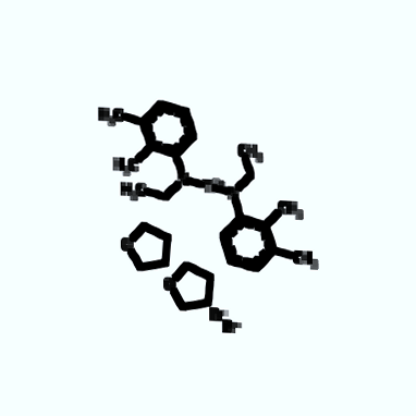 C1CCOC1.C1CCOC1.CC[N]([Ti+2][N](CC)c1cccc(C)c1C)c1cccc(C)c1C.[Br-].[Br-]